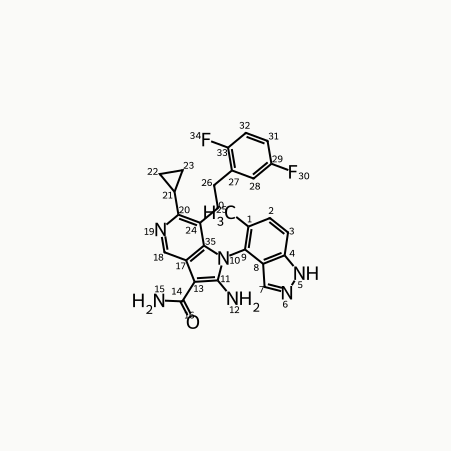 Cc1ccc2[nH]ncc2c1-n1c(N)c(C(N)=O)c2cnc(C3CC3)c(CCc3cc(F)ccc3F)c21